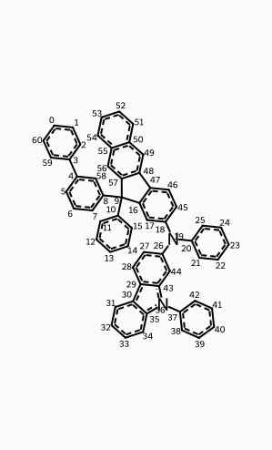 c1ccc(-c2cccc(C3(c4ccccc4)c4cc(N(c5ccccc5)c5ccc6c7ccccc7n(-c7ccccc7)c6c5)ccc4-c4cc5ccccc5cc43)c2)cc1